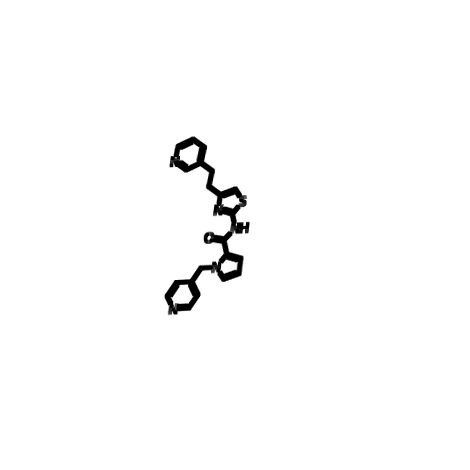 O=C(Nc1nc(CCc2cccnc2)cs1)c1cccn1Cc1ccncc1